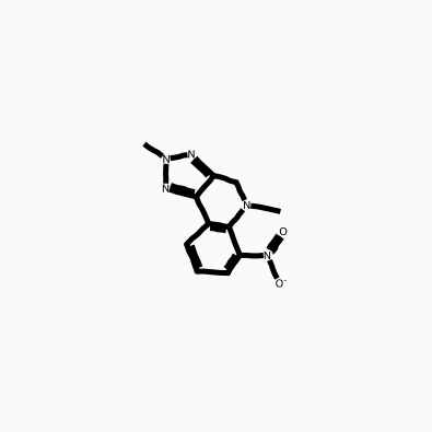 CN1Cc2nn(C)nc2-c2cccc([N+](=O)[O-])c21